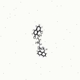 C[S+]([O-])c1cccc2cccc(NCCNCCNc3c(Cl)ccc4cccc(Cl)c34)c12